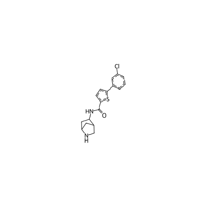 O=C(NC1CC2CC1CN2)c1ccc(-c2cccc(Cl)c2)s1